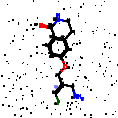 NC/C(=C\F)COc1ccc2c(c1)CCNC2=O